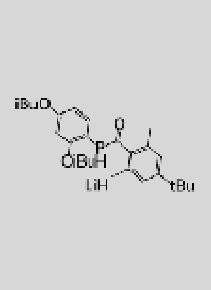 Cc1cc(C(C)(C)C)cc(C)c1C(=O)Pc1ccc(OCC(C)C)cc1OCC(C)C.[LiH]